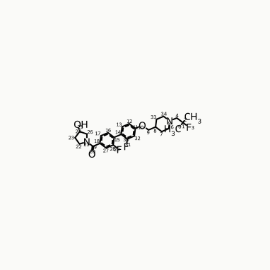 CC(C)(F)CN1CCC(COc2ccc(-c3ccc(C(=O)N4CC[C@@H](O)C4)cc3F)c(F)c2)CC1